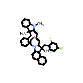 CC(C)CC[N+]1=C(/C=C/C=C2/N(C)c3ccccc3C2(C)Cc2ccccc2)C(C)(Cc2ccc(F)cc2F)c2c1ccc1ccccc21